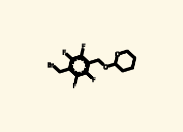 Fc1c(F)c(COC2CCCCO2)c(F)c(F)c1CBr